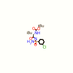 CC[C@H](C)[C@H](NC(=O)OC(C)(C)C)C(=O)N=S(N)(=O)c1cccc(Cl)c1